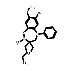 CCCCC1(CC)CN(c2ccccc2)c2cc(Br)c(OC)cc2SN1C